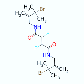 C=C(CNC(=O)C(F)C(F)C(=O)NCC(=C)C(C)(C)Br)C(C)(C)Br